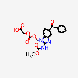 COC(=O)Nc1nc2cc(C(=O)c3ccccc3)ccc2n1COC(=O)OCC(=O)O